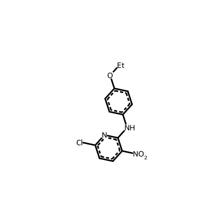 CCOc1ccc(Nc2nc(Cl)ccc2[N+](=O)[O-])cc1